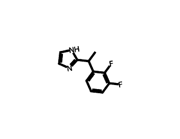 CC(c1ncc[nH]1)c1cccc(F)c1F